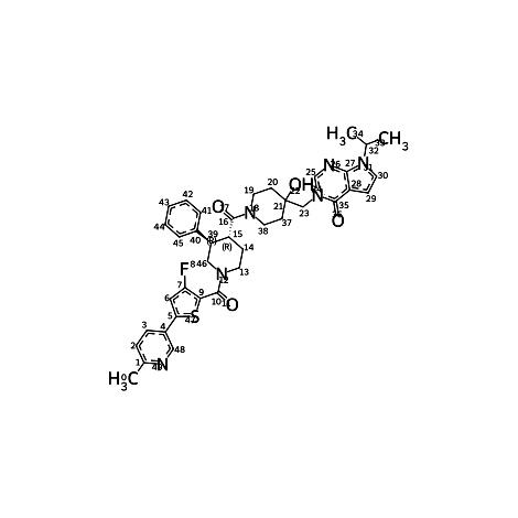 Cc1ccc(-c2cc(F)c(C(=O)N3CC[C@@H](C(=O)N4CCC(O)(Cn5cnc6c(ccn6C(C)C)c5=O)CC4)[C@H](c4ccccc4)C3)s2)cn1